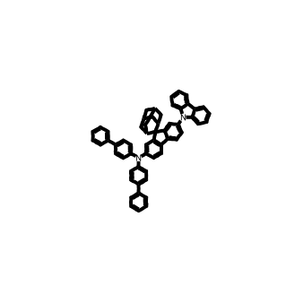 c1ccc(-c2ccc(N(c3ccc(-c4ccccc4)cc3)c3ccc4c(c3)C3(c5cc(-n6c7ccccc7c7ccccc76)ccc5-4)C4CC5CC(C4)CC3C5)cc2)cc1